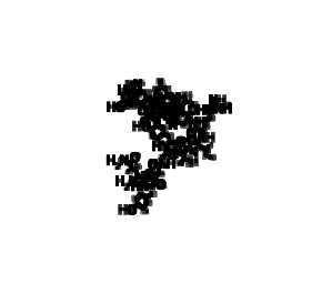 CC[C@H](C)[C@H](NC(=O)[C@@H](NC(=O)[C@H](Cc1ccc(O)cc1)NC(=O)CNC(=O)CNC(=O)[C@H](Cc1ccc(O)cc1)NC(=O)[C@@H](N)CCC(N)=O)C(C)C)C(=O)N[C@@H](CCCNC(=N)N)C(=O)N[C@@H](Cc1c[nH]cn1)C(=O)N[C@H](C(=O)N[C@@H](CC(C)C)C(=O)N[C@@H](CCC(=O)O)C(=O)N[C@@H](Cc1c[nH]cn1)C(=O)NCC(=O)O)C(C)C